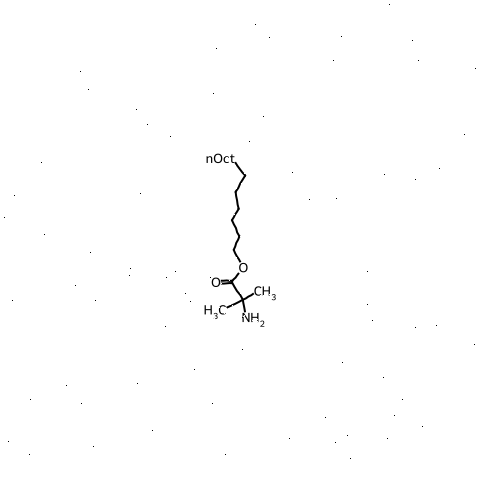 CCCCCCCCCCCCCCOC(=O)C(C)(C)N